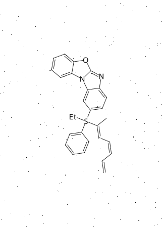 C=C/C=C\C=C(/C)S(CC)(c1ccccc1)c1ccc2nc3oc4ccccc4n3c2c1